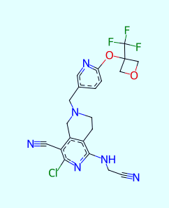 N#CCNc1nc(Cl)c(C#N)c2c1CCN(Cc1ccc(OC3(C(F)(F)F)COC3)nc1)C2